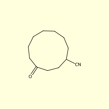 N#CC1CCCCCCCC(=O)CC1